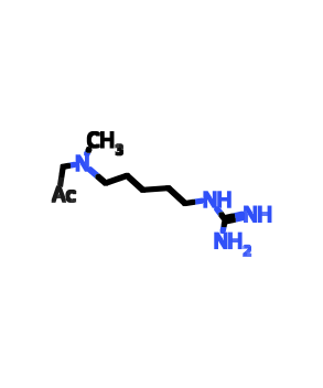 CC(=O)CN(C)CCCCCNC(=N)N